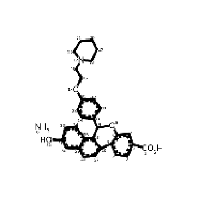 N.O=C(O)c1ccc2c(c1)OC(c1ccc(OCCN3CCCCC3)cc1)c1c-2ccc2cc(O)ccc12